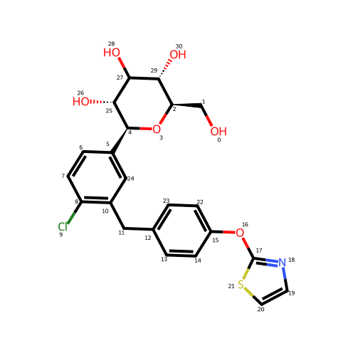 OC[C@H]1O[C@@H](c2ccc(Cl)c(Cc3ccc(Oc4nccs4)cc3)c2)[C@H](O)C(O)[C@@H]1O